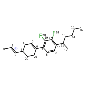 C/C=C/C1CC=C(c2ccc(C(C)CCCC)c(F)c2F)CC1